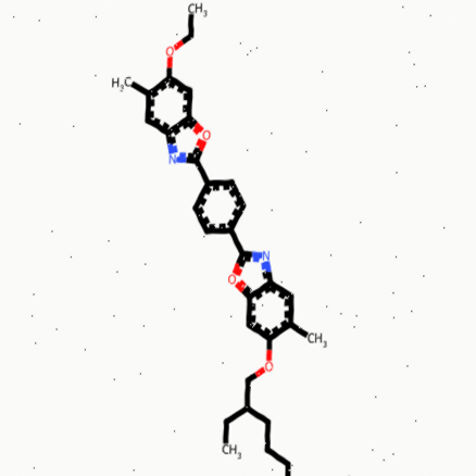 CCCCC(CC)COc1cc2oc(-c3ccc(-c4nc5cc(C)c(OCC)cc5o4)cc3)nc2cc1C